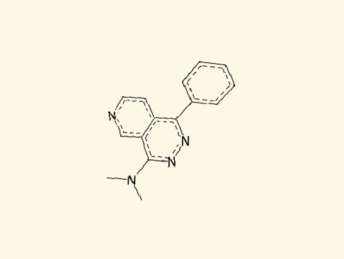 CN(C)c1nnc(-c2ccccc2)c2ccncc12